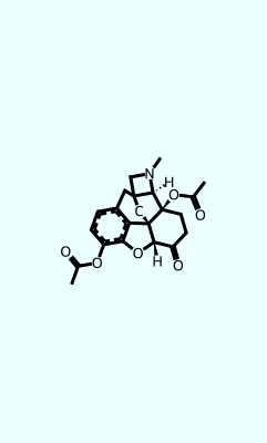 CC(=O)Oc1ccc2c3c1O[C@H]1C(=O)CC[C@@]4(OC(C)=O)[C@@H]5N(C)CC5(C2)C[C@]314